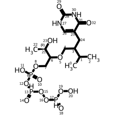 CC(C)C(COC(COP(=O)(O)O[PH](=O)OO[PH](=O)OO)[C@@H](C)O)Cc1c[nH]c(=O)[nH]c1=O